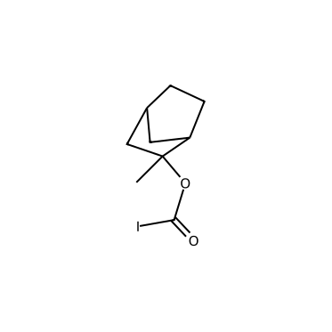 CC1(OC(=O)I)CC2CCC1C2